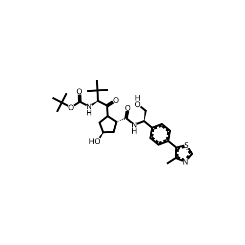 Cc1ncsc1-c1ccc([C@H](CO)NC(=O)[C@@H]2C[C@@H](O)CC2C(=O)[C@@H](NC(=O)OC(C)(C)C)C(C)(C)C)cc1